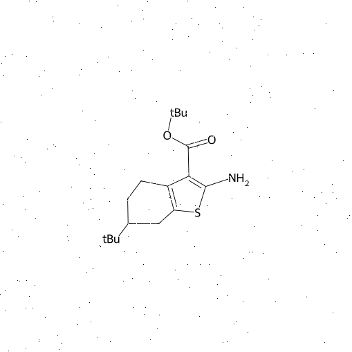 CC(C)(C)OC(=O)c1c(N)sc2c1CCC(C(C)(C)C)C2